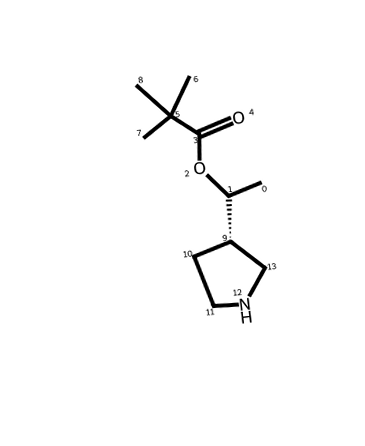 CC(OC(=O)C(C)(C)C)[C@H]1CCNC1